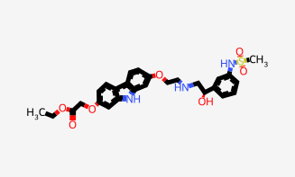 CCOC(=O)COc1ccc2c(c1)[nH]c1cc(OCCNC[C@H](O)c3cccc(NS(C)(=O)=O)c3)ccc12